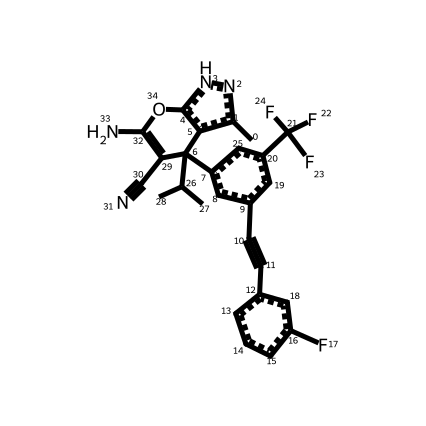 Cc1n[nH]c2c1C(c1cc(C#Cc3cccc(F)c3)cc(C(F)(F)F)c1)(C(C)C)C(C#N)=C(N)O2